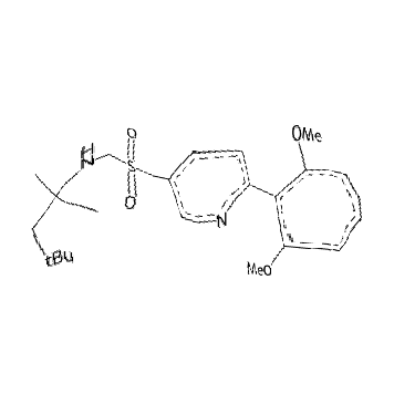 COc1cccc(OC)c1-c1ccc(S(=O)(=O)NC(C)(C)CC(C)(C)C)cn1